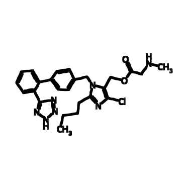 CCCCc1nc(Cl)c(COC(=O)CNC)n1Cc1ccc(-c2ccccc2-c2nn[nH]n2)cc1